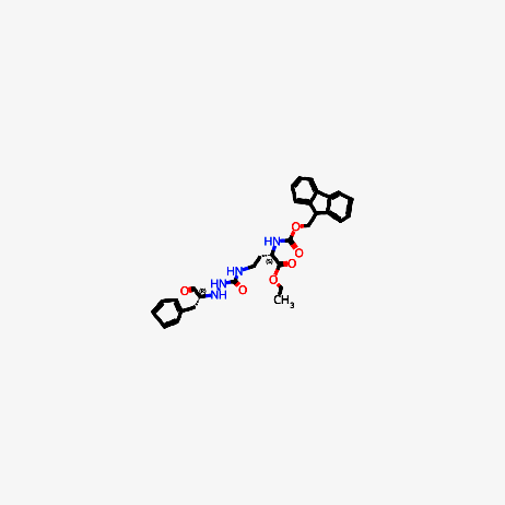 CCOC(=O)[C@H](CCNC(=O)NN[C@@H](C=O)Cc1ccccc1)NC(=O)OCC1c2ccccc2-c2ccccc21